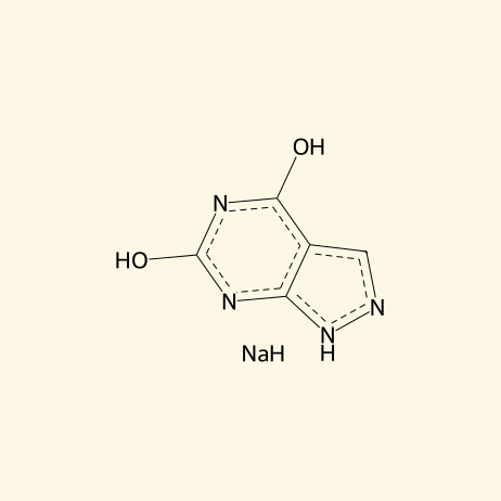 Oc1nc(O)c2cn[nH]c2n1.[NaH]